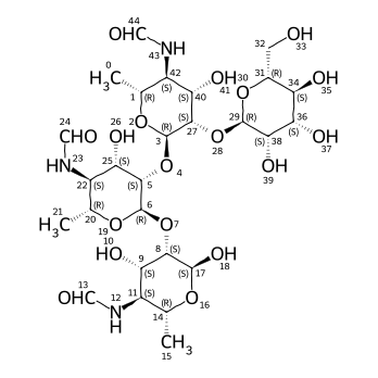 C[C@H]1O[C@H](O[C@@H]2[C@@H](O[C@H]3[C@@H](O)[C@H](NC=O)[C@@H](C)O[C@@H]3O)O[C@H](C)[C@@H](NC=O)[C@@H]2O)[C@@H](O[C@H]2O[C@H](CO)[C@@H](O)[C@H](O)[C@@H]2O)[C@@H](O)[C@@H]1NC=O